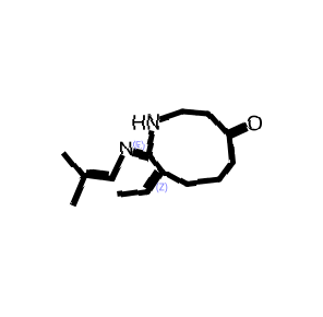 C/C=C1/CCCC(=O)CCN/C1=N/C=C(C)C